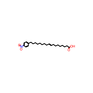 O=C(O)CCCCCCC/C=C/CCCCCCCCc1ccc([N+](=O)[O-])cc1